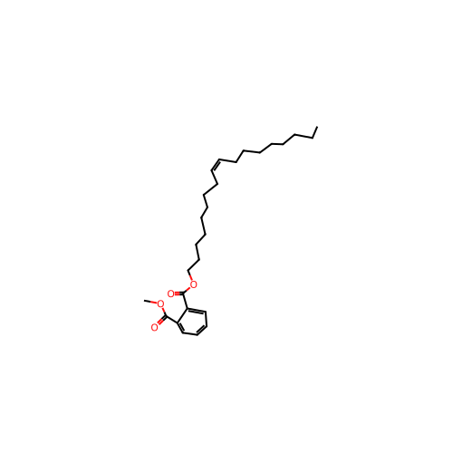 CCCCCCCC/C=C\CCCCCCCCOC(=O)c1ccccc1C(=O)OC